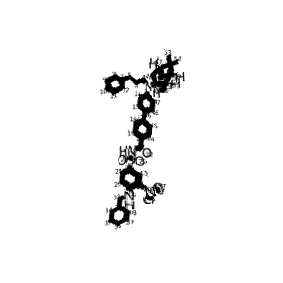 C[C@H]1[C@@H](N(CCCc2ccccc2)c2ccc(-c3ccc(C(=O)NS(=O)(=O)c4ccc(NCC5CCCCC5)c([N+](=O)[O-])c4)cc3)cc2)C[C@@H]2C[C@@H]1C2(C)C